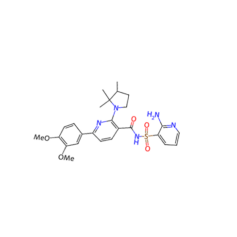 COc1ccc(-c2ccc(C(=O)NS(=O)(=O)c3cccnc3N)c(N3CCC(C)C3(C)C)n2)cc1OC